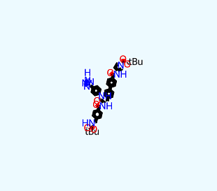 CC(C)(C)OC(=O)NCC1CCC(C(=O)N[C@@H](Cc2ccc(-c3ccc(C(=O)NC4CCN(C(=O)OC(C)(C)C)C4)cc3)cc2)C(=O)Nc2ccc(-c3nn[nH]n3)cc2)CC1